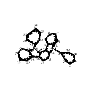 c1ccc(-n2c3ccccc3c3c2ccc2c4ccccc4n(-c4ccccc4)c23)cc1